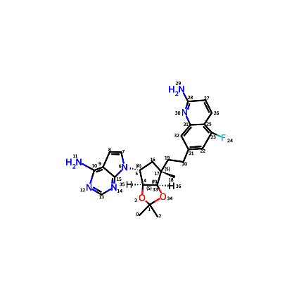 CC1(C)O[C@H]2[C@H](n3ccc4c(N)ncnc43)C[C@](C)(CCc3cc(F)c4ccc(N)nc4c3)[C@H]2O1